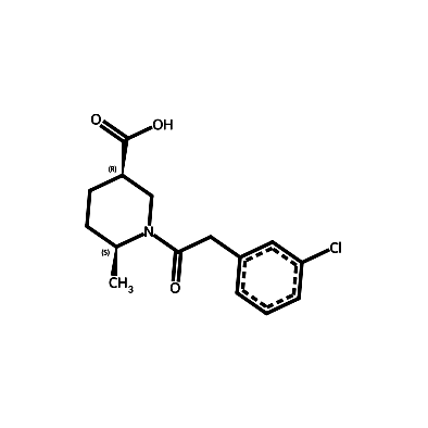 C[C@H]1CC[C@@H](C(=O)O)CN1C(=O)Cc1cccc(Cl)c1